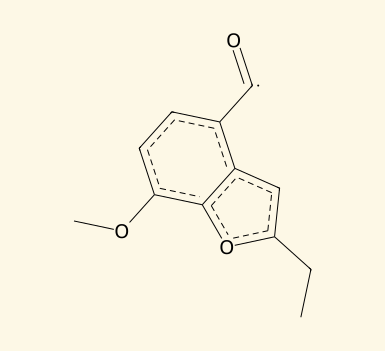 CCc1cc2c([C]=O)ccc(OC)c2o1